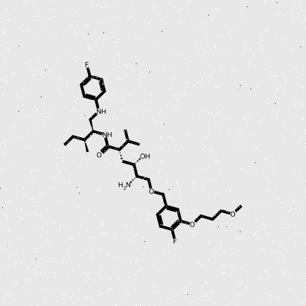 CC[C@H](C)[C@@H](CNc1ccc(F)cc1)NC(=O)[C@@H](C[C@H](O)[C@@H](N)COCc1ccc(F)c(OCCCOC)c1)C(C)C